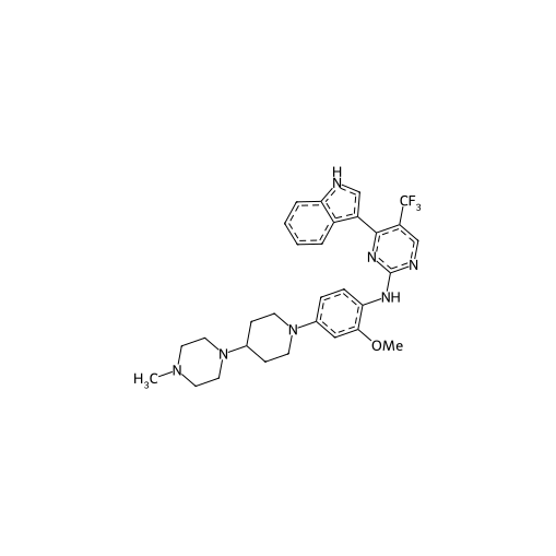 COc1cc(N2CCC(N3CCN(C)CC3)CC2)ccc1Nc1ncc(C(F)(F)F)c(-c2c[nH]c3ccccc23)n1